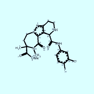 COC(=O)C1(C)CCn2nc3c(c2C(=O)N1C)C(C(=O)Nc1ccc(F)c(Cl)c1)NCC3